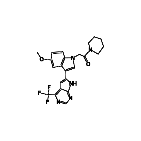 COc1ccc2c(c1)c(-c1cc3c(C(F)(F)F)ncnc3[nH]1)cn2CC(=O)N1CCCCC1